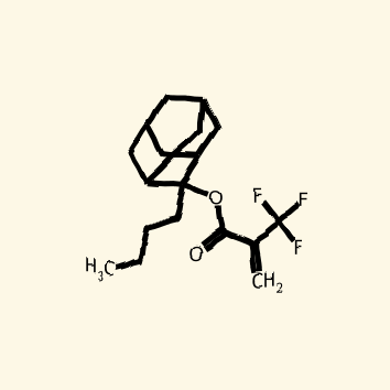 C=C(C(=O)OC1(CCCC)C2CC3CC(C2)CC1C3)C(F)(F)F